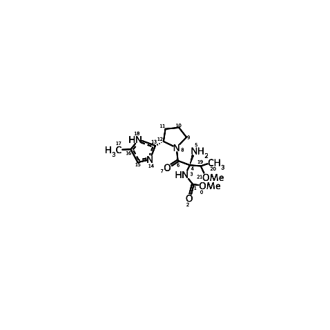 COC(=O)N[C@](N)(C(=O)N1CCC[C@H]1c1ncc(C)[nH]1)C(C)OC